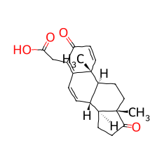 C[C@]12C=CC(=O)C(CC(=O)O)=C1C=C[C@@H]1[C@@H]2CC[C@]2(C)C(=O)CC[C@@H]12